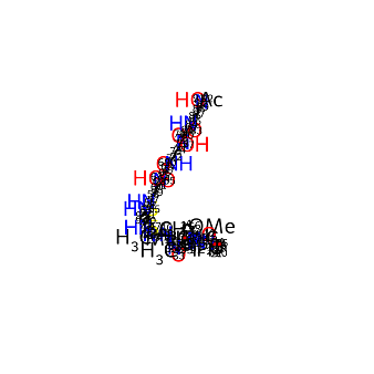 COc1cccc(OC)c1-c1cc(C(=O)NC2(C(=O)O)C3CCC4CC(C3)CC2C4)nn1-c1ccc(C(=O)N(C)CCCN(C)CCCN(C)C(=S)Nc2ccc(NC(=S)NCCCCCN(O)C(=O)CCC(=O)NCCCCCN(O)C(=O)CCC(=O)NCCCCCN(O)C(C)=O)cc2)cc1C(C)C